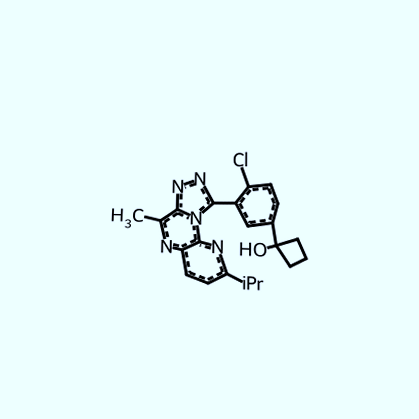 Cc1nc2ccc(C(C)C)nc2n2c(-c3cc(C4(O)CCC4)ccc3Cl)nnc12